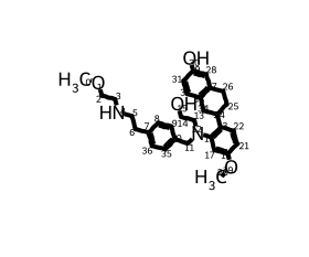 COCCNCCc1ccc(CN(CCO)c2cc(OC)ccc2C2CCc3cc(O)ccc3C2)cc1